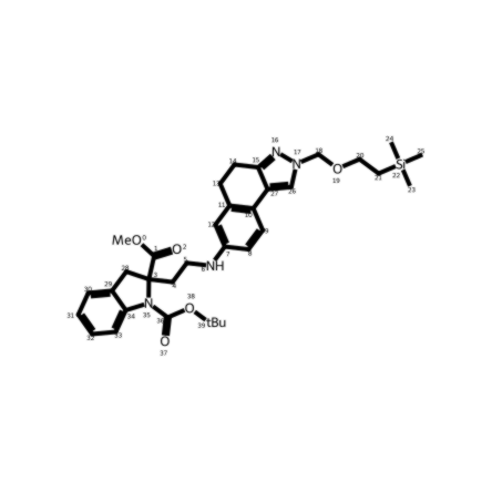 COC(=O)C1(CCNc2ccc3c(c2)CCc2nn(COCC[Si](C)(C)C)cc2-3)Cc2ccccc2N1C(=O)OC(C)(C)C